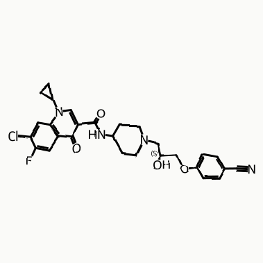 N#Cc1ccc(OC[C@@H](O)CN2CCC(NC(=O)c3cn(C4CC4)c4cc(Cl)c(F)cc4c3=O)CC2)cc1